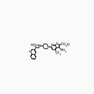 Nc1c(C(=O)O)sc2nc(N3CCC(NCC(O)c4cnc5ccccc5c4)CC3)cc(C(F)(F)F)c12